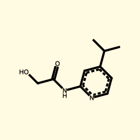 CC(C)c1ccnc(NC(=O)CO)c1